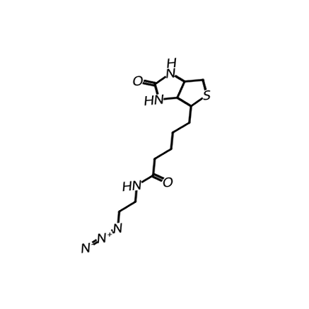 [N-]=[N+]=NCCNC(=O)CCCCC1SCC2NC(=O)NC21